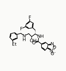 CCc1cccc(CNC[C@H](O)[C@H](Cc2cc(F)cc(F)c2)NC(=O)c2ccc3c(c2)no[n+]3[O-])c1